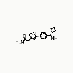 N=C(c1ccc(-c2cc(CC(N)=O)on2)cc1)N1CCC1